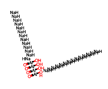 [NaH].[NaH].[NaH].[NaH].[NaH].[NaH].[NaH].[NaH].[NaH].[NaH].[NaH].[NaH].[NaH].[NaH].[NaH].[NaH].[NaH].[NaH].[NaH].[NaH].[NaH].[NaH].[NaH].[NaH].[NaH].[NaH].[NaH].[O]=[Al][OH].[O]=[Al][OH].[O]=[Al][OH].[O]=[Al][OH]